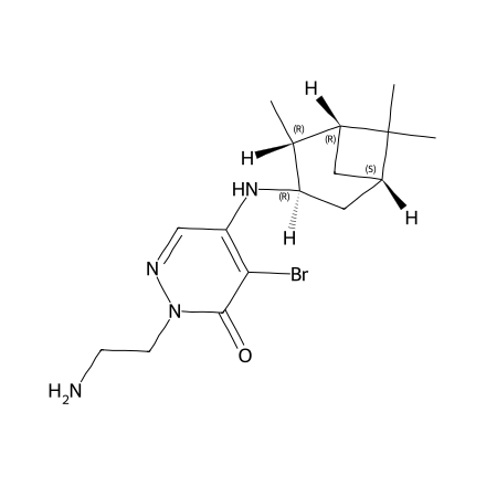 C[C@@H]1[C@H]2C[C@@H](C[C@H]1Nc1cnn(CCN)c(=O)c1Br)C2(C)C